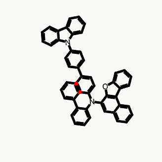 c1ccc(-c2ccccc2N(c2ccc(-c3ccc(-n4c5ccccc5c5ccccc54)cc3)cc2)c2cc3ccccc3c3c2oc2ccccc23)cc1